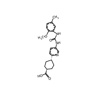 COc1ccc(C)cc1NC(=O)Nc1ccc([C@H]2CC[C@H](C(=O)O)CC2)nc1